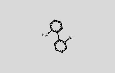 [C-]#[N+]c1ccccc1-c1ccccc1C